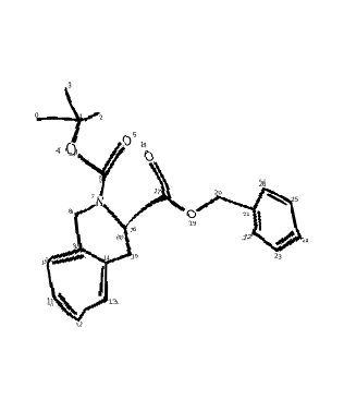 CC(C)(C)OC(=O)N1Cc2ccccc2C[C@@H]1C(=O)OCc1ccccc1